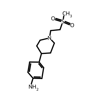 CS(=O)(=O)CCN1CCC(c2ccc(N)cc2)CC1